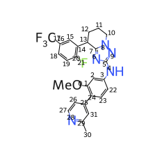 COc1cc(Nc2nc3n(n2)CCCC3c2cc(C(F)(F)F)ccc2F)ccc1-c1ccnc(C)c1